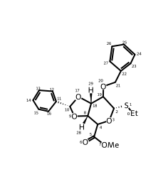 CCS[C@@H]1OC(C(=O)OC)[C@@H]2O[C@H](c3ccccc3)O[C@@H]2C1OCc1ccccc1